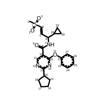 CS(=O)(=O)C=CC(NC(=O)c1cnc(C2CCCC2)nc1Oc1ccccc1)C1CC1